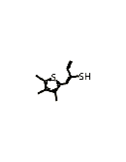 C=C/C(S)=C\c1sc(C)c(C)c1C